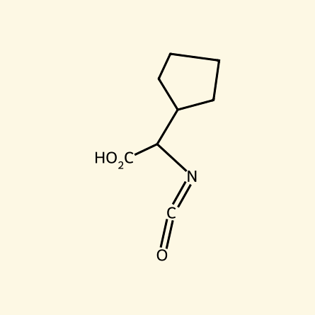 O=C=NC(C(=O)O)C1CCCC1